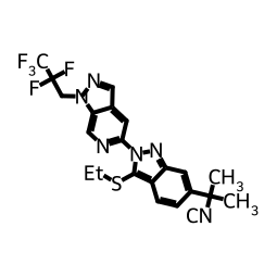 CCSc1c2ccc(C(C)(C)C#N)cc2nn1-c1cc2cnn(CC(F)(F)C(F)(F)F)c2cn1